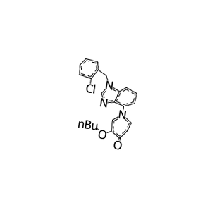 CCCCOc1cn(-c2cccc3c2ncn3Cc2ccccc2Cl)ccc1=O